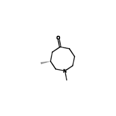 C[C@@H]1CC(=O)CCCN(C)C1